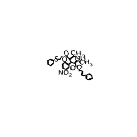 CC1=C(C(=O)OCC=Cc2ccccc2)C(c2cccc([N+](=O)[O-])c2)C(C(=O)OCCSc2ccccc2)=C(C)N1